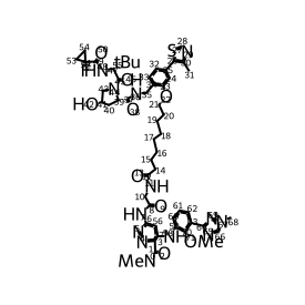 CNC(=O)c1nnc(NC(=O)CNC(=O)CCCCCCCCOc2cc(-c3scnc3C)ccc2CNC(=O)[C@@H]2C[C@@H](O)CN2C(=O)[C@@H](NC(=O)C2(F)CC2)C(C)(C)C)cc1Nc1cccc(-c2ncn(C)n2)c1OC